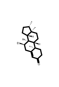 CC[C@@H]1CC2=CC(=O)CC[C@]2(C)[C@H]2CC[C@]3(C)[C@@H](C)CC[C@H]3[C@H]12